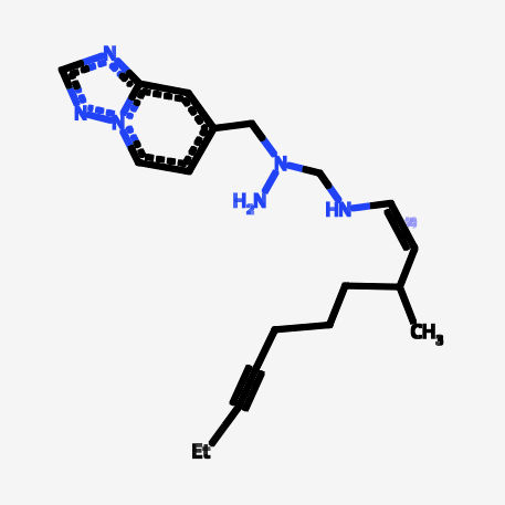 CCC#CCCCC(C)/C=C\NCN(N)Cc1ccn2ncnc2c1